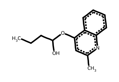 CCCC(O)Oc1cc(C)nc2ccccc12